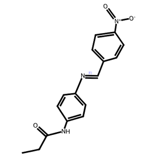 CCC(=O)Nc1ccc(/N=C/c2ccc([N+](=O)[O-])cc2)cc1